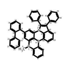 CN1c2ccccc2B2c3c1cc(-c1ccccc1-c1ccccc1)cc3-n1c(-c3ccccc3)c(-c3ccccc3)c3cccc2c31